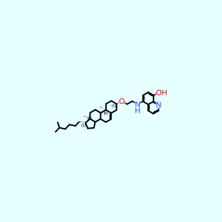 CC(C)CCCC[C@H]1CCC2C3CC=C4C[C@@H](OCCNc5ccc(O)c6ncccc56)CC[C@]4(C)C3CC[C@@]21C